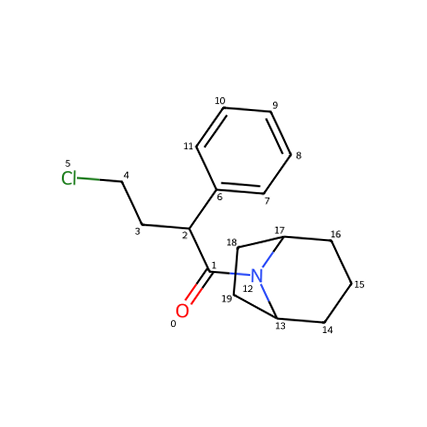 O=C(C(CCCl)c1ccccc1)N1C2CCCC1CC2